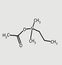 [CH2]C(=O)O[Si](C)(C)CCC